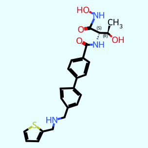 C[C@@H](O)[C@H](NC(=O)c1ccc(-c2ccc(CNCc3cccs3)cc2)cc1)C(=O)NO